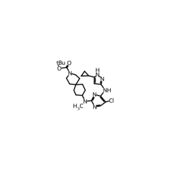 CN(c1ncc(Cl)c(Nc2cc(C3CC3)[nH]n2)n1)C1CCC2(CC1)CCN(C(=O)OC(C)(C)C)CC2